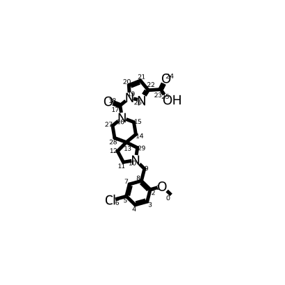 COc1ccc(Cl)cc1CN1CCC2(CCN(C(=O)n3ccc(C(=O)O)n3)CC2)C1